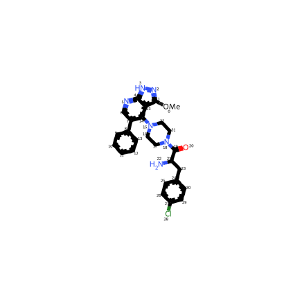 COc1n[nH]c2ncc(-c3ccccc3)c(N3CCN(C(=O)C(N)Cc4ccc(Cl)cc4)CC3)c12